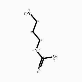 CCCCCCNC(=S)S